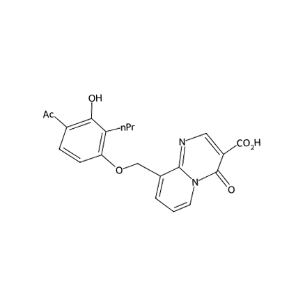 CCCc1c(OCc2cccn3c(=O)c(C(=O)O)cnc23)ccc(C(C)=O)c1O